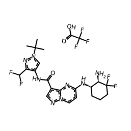 CC(C)(C)n1cc(NC(=O)c2cnn3ccc(N[C@@H]4CCCC(F)(F)[C@@H]4N)nc23)c(C(F)F)n1.O=C(O)C(F)(F)F